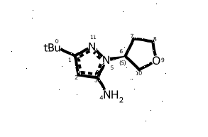 CC(C)(C)c1cc(N)n([C@H]2CCOC2)n1